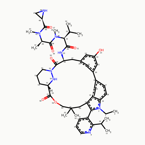 CCn1c(-c2cccnc2C(C)C)c2c3cc(ccc31)-c1cc(O)cc(c1)C[C@H](NC(=O)[C@H](C(C)C)N(C)C(=O)[C@@H](C)N(C)C(=O)[C@H]1CN1)C(=O)N1CCC[C@H](N1)C(=O)OCC(C)(C)C2